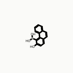 OB(O)c1c(O)ccc2ccc3ccccc3c12